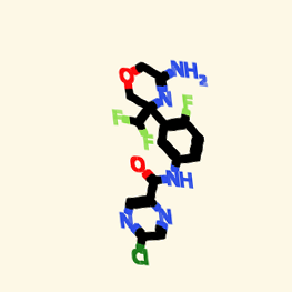 NC1=NC(c2cc(NC(=O)c3cnc(Cl)cn3)ccc2F)(C(F)F)COC1